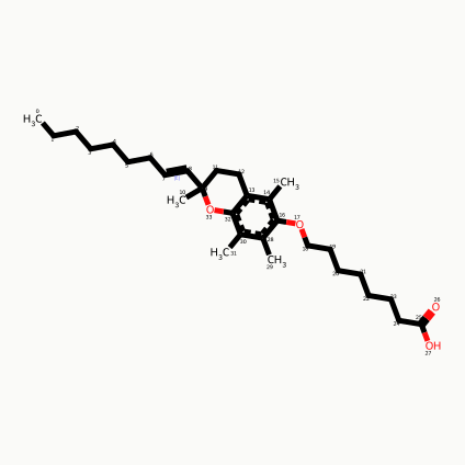 CCCCCCC/C=C/C1(C)CCc2c(C)c(OCCCCCCCC(=O)O)c(C)c(C)c2O1